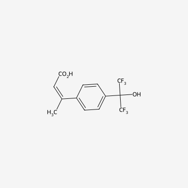 C/C(=C/C(=O)O)c1ccc(C(O)(C(F)(F)F)C(F)(F)F)cc1